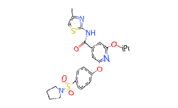 Cc1csc(NC(=O)c2cc(Oc3ccc(S(=O)(=O)N4CCCC4)cc3)nc(OC(C)C)c2)n1